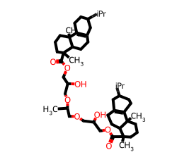 CC(COCC(O)COC(=O)C1(C)CCCC2(C)C3=C(CCC12)CC(C(C)C)CC3)OCC(O)COC(=O)C1(C)CCCC2(C)C3=C(CCC12)CC(C(C)C)CC3